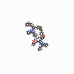 C=Cc1oc2ccccc2c1/C=C(\C)c1cc(-c2ccc3oc4cc(-c5ccc6oc7ccc(-c8cc(-c9ccc%10oc%11ccccc%11c%10c9)cc(-c9nc(-c%10ccccc%10)cc(-c%10ccc(C#N)cc%10)n9)c8)cc7c6c5)ccc4c3c2)cc(-c2nc(-c3ccccc3)cc(-c3ccc(F)cc3)n2)c1